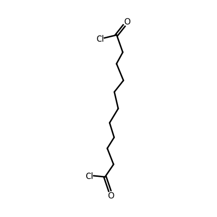 O=C(Cl)CCCCCCCCCC(=O)Cl